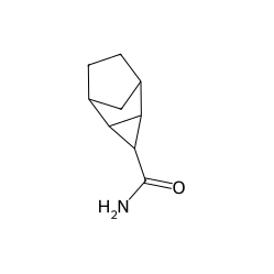 NC(=O)C1C2C3CCC(C3)C12